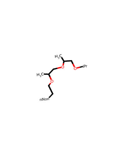 [CH2]C(C)OCC(C)OCC(C)OCCCCCCCCCCC